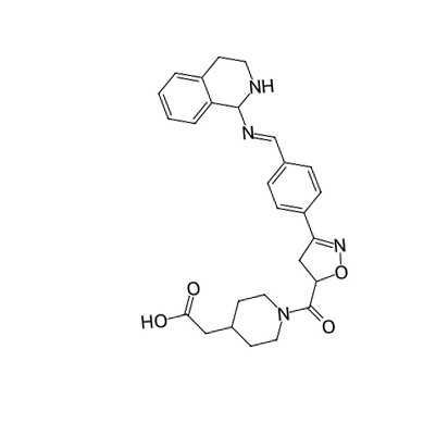 O=C(O)CC1CCN(C(=O)C2CC(c3ccc(C=NC4NCCc5ccccc54)cc3)=NO2)CC1